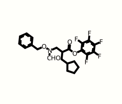 O=CN(CC(CC1CCCC1)C(=O)Oc1c(F)c(F)c(F)c(F)c1F)OCc1ccccc1